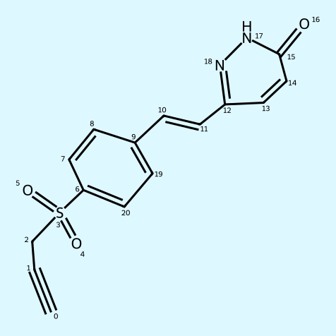 C#CCS(=O)(=O)c1ccc(C=Cc2ccc(=O)[nH]n2)cc1